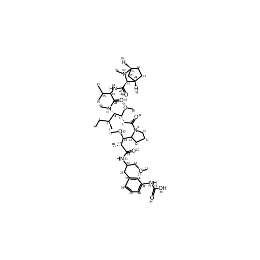 CC[C@H](C)[C@@H]([C@@H](CC(=O)N1CCCC1[C@H](OC)[C@@H](C)C(=O)NC(COC)Cc1cccc(NC(=O)O)c1)OC)N(C)C(=O)C(NC(=O)[C@@H]1[C@H]2CC[C@H](C2)N1C)C(C)C